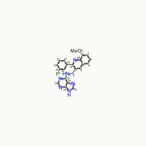 COc1cccc2cc(CNc3ncnc4[nH]cnc34)c(-c3cccc(F)c3)nc12